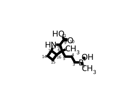 CB(O)CCCC1(C)C(C(=O)O)NC2CCC21